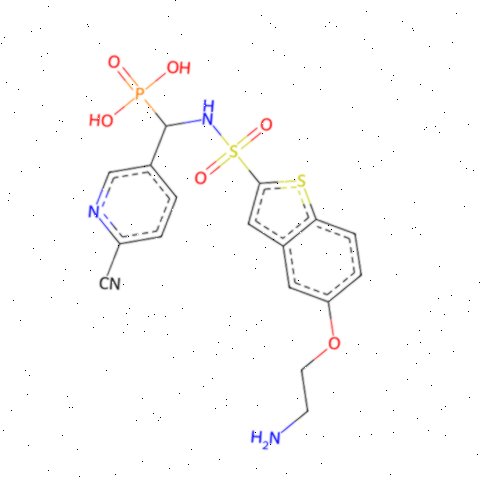 N#Cc1ccc(C(NS(=O)(=O)c2cc3cc(OCCN)ccc3s2)P(=O)(O)O)cn1